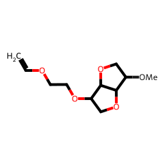 C=COCCOC1COC2C(OC)COC12